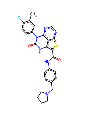 Cc1cc(N2C(=O)Nc3c(C(=O)Nc4ccc(CN5CCCC5)cc4)sc4ncnc2c34)ccc1F